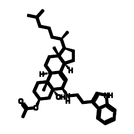 CC(=O)O[C@H]1CC[C@]2(C)[C@H]3CC[C@]4(C)[C@@H]([C@H](C)CCCC(C)C)CC[C@H]4C3=C[C@@H](NCCc3c[nH]c4ccccc34)[C@@]2(O)C1